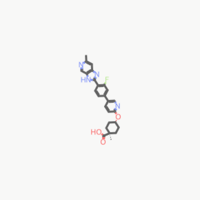 Cc1cc2nc(-c3ccc(-c4ccc(O[C@H]5CC[C@](C)(C(=O)O)CC5)nc4)cc3F)[nH]c2cn1